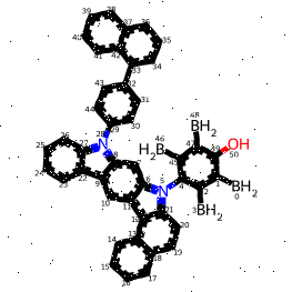 Bc1c(B)c(-n2c3cc4c(cc3c3c5ccccc5ccc32)c2ccccc2n4-c2ccc(-c3cccc4ccccc34)cc2)c(B)c(B)c1O